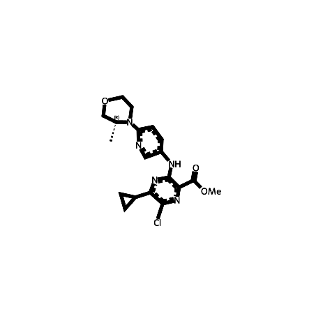 COC(=O)c1nc(Cl)c(C2CC2)nc1Nc1ccc(N2CCOC[C@H]2C)nc1